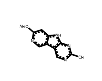 COc1cc2[nH]c3nc(C#N)ncc3c2cn1